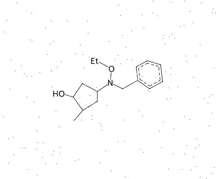 CCON(Cc1ccccc1)C1CC(C)C(O)C1